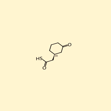 O=C(S)C[C@H]1CCCC(=O)C1